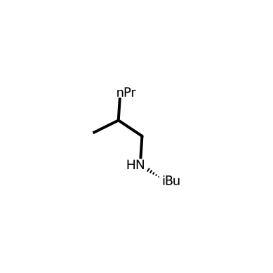 CCCC(C)CN[C@@H](C)CC